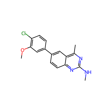 CNc1nc(C)c2cc(-c3ccc(Cl)c(OC)c3)ccc2n1